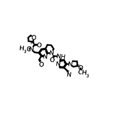 CO[C@@H]1CCN(c2cc(NC(=O)N3CCCc4cc(CN(C)C(=O)[C@H]5CCCO5)c(C=O)nc43)ncc2C#N)C1